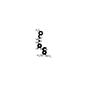 COc1cc2nccc(Oc3ccc(NC(=O)NC(=O)CC4=CCCC(C)C4)cc3Cl)c2cc1OC